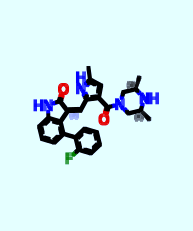 Cc1cc(C(=O)N2C[C@@H](C)N[C@@H](C)C2)c(/C=C2\C(=O)Nc3cccc(-c4ccccc4F)c32)[nH]1